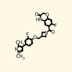 Cc1nn(C)cc1-c1ccc(OCC2CN(C(=O)c3cc4c(cc3F)OCC(=O)N4)C2)c(F)c1